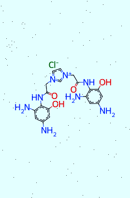 Nc1cc(N)c(NC(=O)Cn2cc[n+](CC(=O)Nc3c(N)cc(N)cc3O)c2)c(O)c1.[Cl-]